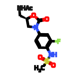 CC(=O)NC[C@H]1CN(c2ccc(NS(C)(=O)=O)c(F)c2)C(=O)O1